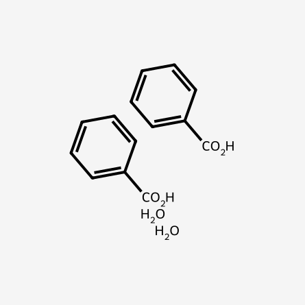 O.O.O=C(O)c1ccccc1.O=C(O)c1ccccc1